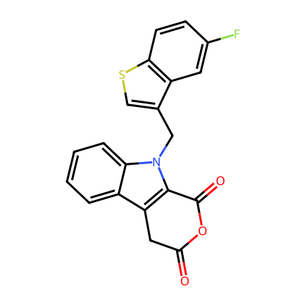 O=C1Cc2c(n(Cc3csc4ccc(F)cc34)c3ccccc23)C(=O)O1